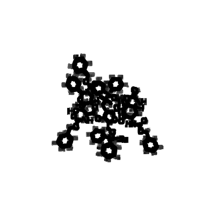 CC(C)(C[C@H]1[C@H](O[C@H]2[C@H](O)[C@@H](NC(=O)OCc3ccccc3)C[C@H]3NC(=O)O[C@H]23)O[C@H](CO[Si](c2ccccc2)(c2ccccc2)C(C)(C)C)[C@H]1O[C@H]1O[C@H]2CN(C(=O)OCc3ccccc3)C(c3ccccc3)O[C@H]2[C@H](O)[C@H]1NC(=O)OCc1ccccc1)[Si](O)(c1ccccc1)c1ccccc1